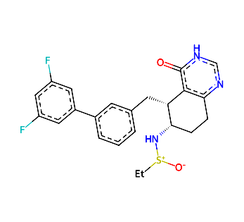 CC[S+]([O-])N[C@H]1CCc2nc[nH]c(=O)c2[C@H]1Cc1cccc(-c2cc(F)cc(F)c2)c1